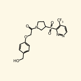 O=C(COc1ccc(CO)cc1)N1CCC(S(=O)(=O)c2nnccc2C(F)(F)F)C1